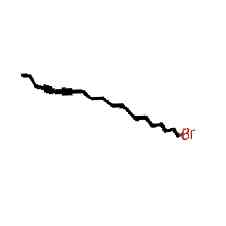 CCCC#CC#CCCCCCCCCCCCCBr